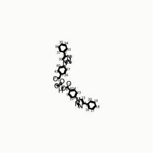 O=C(O[PH](=O)OC(=O)c1ccc(-n2cc(-c3ccccc3)nn2)cc1)c1ccc(-n2cc(-c3ccccc3)nn2)cc1